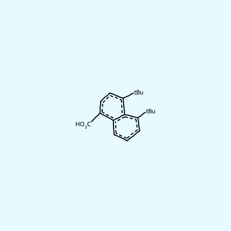 CC(C)(C)c1cccc2c(C(=O)O)ccc(C(C)(C)C)c12